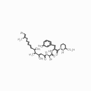 C/C(=C\C(C)C)CC/C=C/C=C/C(O)C(C)C(O)CC(=O)NC(C(=O)NC(Cc1cccc(O)c1)C(=O)N1CCCC(C(=O)O)N1)C(C)C